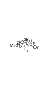 CON(C)C(=O)c1ccc(C)c(-n2c(C)nc(OCc3ccc(F)cc3F)c(Cl)c2=O)c1